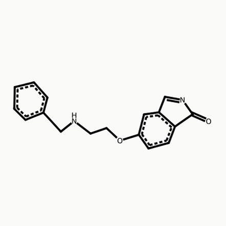 O=C1N=Cc2cc(OCCNCc3ccccc3)ccc21